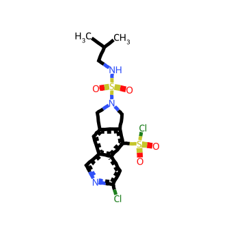 CC(C)CNS(=O)(=O)N1Cc2cc3cnc(Cl)cc3c(S(=O)(=O)Cl)c2C1